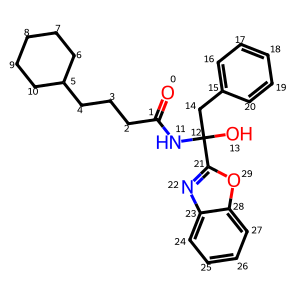 O=C(CCCC1CCCCC1)NC(O)(Cc1ccccc1)c1nc2ccccc2o1